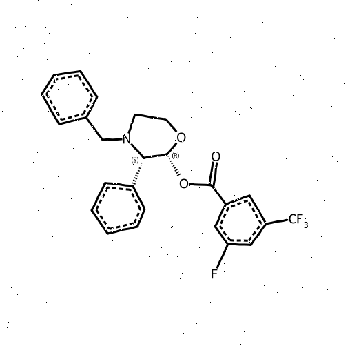 O=C(O[C@H]1OCCN(Cc2ccccc2)[C@H]1c1ccccc1)c1cc(F)cc(C(F)(F)F)c1